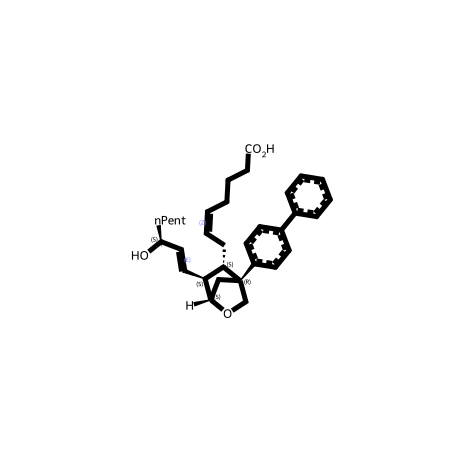 CCCCC[C@H](O)/C=C/[C@@H]1[C@@H]2C[C@@](c3ccc(-c4ccccc4)cc3)(CO2)[C@H]1C/C=C\CCCC(=O)O